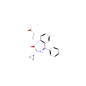 O=C(O)CCN1C(=O)[C@H](C2CC2)N=C(c2ccccc2)c2cc(Cl)ccc21